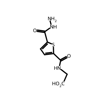 NNC(=O)c1ccc(C(=O)NCC(=O)O)s1